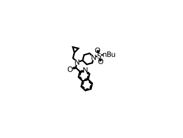 CCCCS(=O)(=O)N1CCC(N(CC2CC2)C(=O)c2cc3ccccc3cn2)CC1